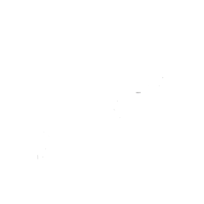 CCC(C)(CC)OC/C=C/COC(=O)CCCCCCCCC(=O)C(C)(C)O